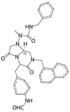 CN(C(=O)NCc1ccccc1)N1CC(=O)N2C(Cc3ccc(NC=O)cc3)C(=O)N(Cc3cccc4ccccc34)C[C@@H]21